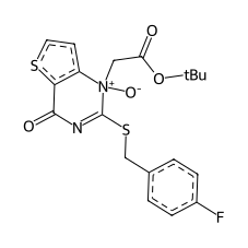 CC(C)(C)OC(=O)C[N+]1([O-])C(SCc2ccc(F)cc2)=NC(=O)c2sccc21